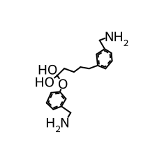 NCc1cccc(CCCCC(O)(O)Oc2cccc(CN)c2)c1